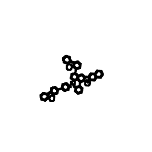 c1ccc(N(c2ccc(-c3ccc4c(c3)oc3ccccc34)cc2)c2ccc(-c3cccc4c3oc3ccccc34)cc2)c(-c2cccc3c2oc2cc4ccccc4cc23)c1